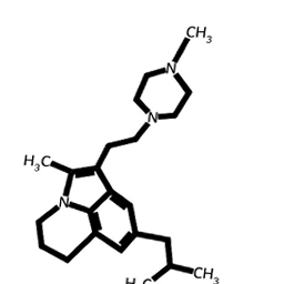 Cc1c(CCN2CCN(C)CC2)c2cc(CC(C)C)cc3c2n1CCC3